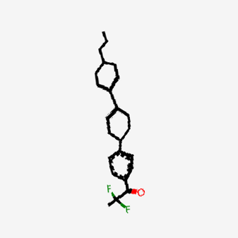 CCCC1CCC(C2CCC(c3ccc(C(=O)C(C)(F)F)cc3)CC2)CC1